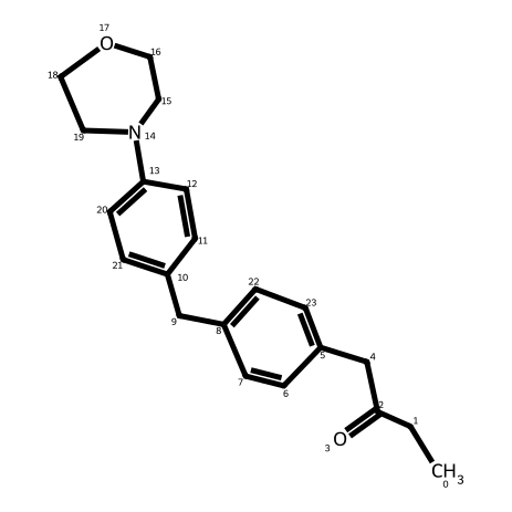 CCC(=O)Cc1ccc(Cc2ccc(N3CCOCC3)cc2)cc1